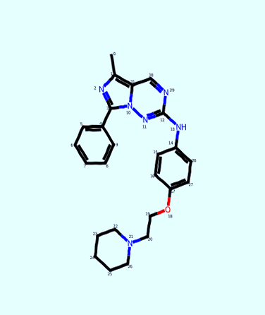 Cc1nc(-c2ccccc2)n2nc(Nc3ccc(OCCN4CCCCC4)cc3)ncc12